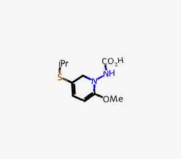 COC1=CC=C(SC(C)C)CN1NC(=O)O